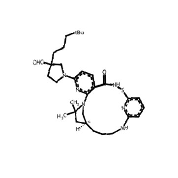 CC(C)(C)CCCC1(C=O)CCN(c2ccc3c(n2)N2C[C@@H](CCCNc4cccc(n4)SNC3=O)CC2(C)C)C1